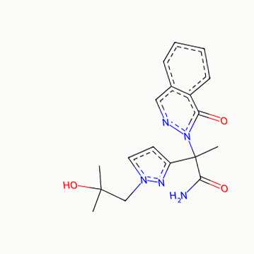 CC(C)(O)Cn1ccc(C(C)(C(N)=O)n2ncc3ccccc3c2=O)n1